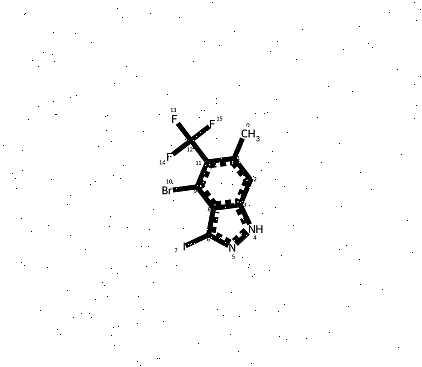 Cc1cc2[nH]nc(I)c2c(Br)c1C(F)(F)F